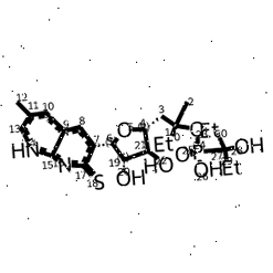 CCC(C)(C[C@H]1O[C@@H](c2cc3cc(C)c[nH]c-3nc2=S)[C@@H](O)C1O)OP(=O)(O)C(O)(CC)CC